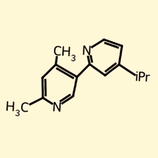 Cc1cc(C)c(-c2cc(C(C)C)ccn2)cn1